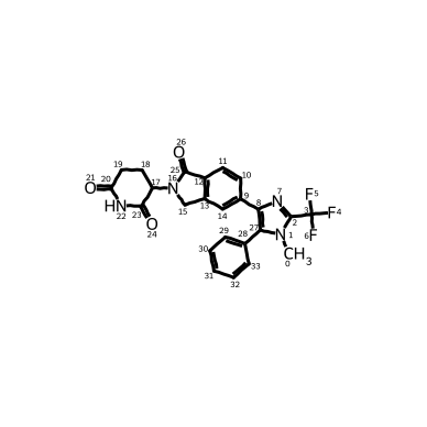 Cn1c(C(F)(F)F)nc(-c2ccc3c(c2)CN(C2CCC(=O)NC2=O)C3=O)c1-c1ccccc1